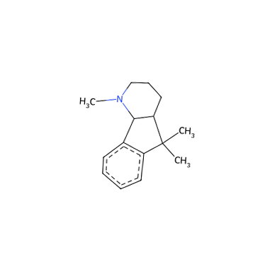 CN1CCCC2C1c1ccccc1C2(C)C